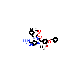 COc1cc([C@@H](Nc2ccc(C(=N)N)cc2)C(=O)N[C@@H](Cc2ccccc2)C(=O)OC(C)=O)ccc1OCc1ccccc1